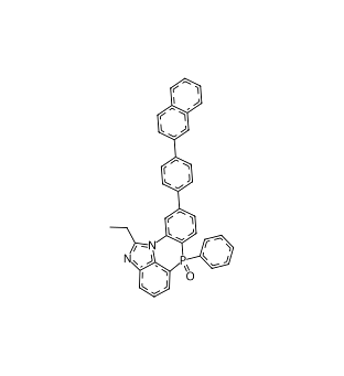 CCc1nc2cccc3c2n1-c1cc(-c2ccc(-c4ccc5ccccc5c4)cc2)ccc1P3(=O)c1ccccc1